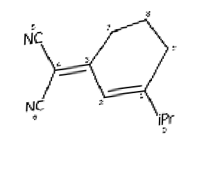 CC(C)C1=CC(=C(C#N)C#N)CCC1